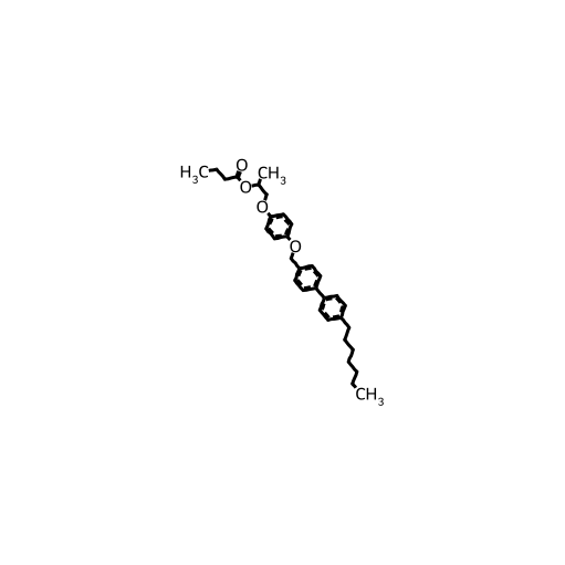 CCCCCCCc1ccc(-c2ccc(COc3ccc(OCC(C)OC(=O)CCC)cc3)cc2)cc1